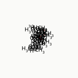 [3H]CC(C)(C[3H])C(=O)OCC(C)(COC(=O)C(C)(C[3H])C[3H])C(=O)OCC(C)(COC(=O)C(C)(COC(=O)C(C)(C[3H])C[3H])COC(=O)C(C)(C[3H])C[3H])C(=O)OCC(C)(COC(=O)C(C)(COC(=O)C(C)(COC(=O)C(C)(C[3H])C[3H])COC(=O)C(C)(C[3H])C[3H])COC(=O)C(C)(COC(=O)C(C)(C[3H])C[3H])COC(=O)C(C)(C[3H])C[3H])C(C)=O